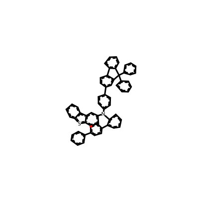 c1ccc(-c2ccc(-c3ccccc3N(c3ccc(-c4ccc5c(c4)C(c4ccccc4)(c4ccccc4)c4ccccc4-5)cc3)c3ccc4sc5ccccc5c4c3)cc2)cc1